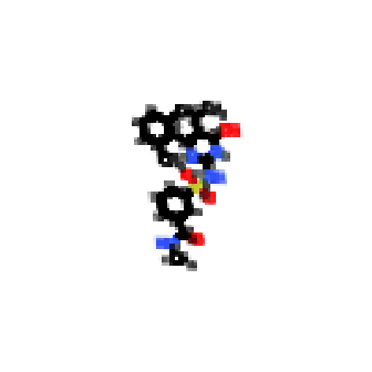 CCc1c(O)nc(NS(=O)(=O)c2cccc(C(=O)NC)c2)nc1-c1c(C)cccc1C